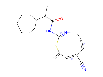 C=C1/C=C(C#N)\C=C/C/N=C(/NC(=O)C(C)C2CCCCCC2)S1